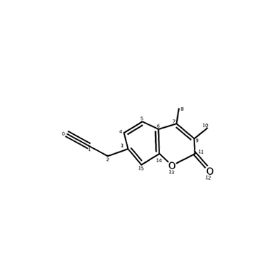 C#CCc1ccc2c(C)c(C)c(=O)oc2c1